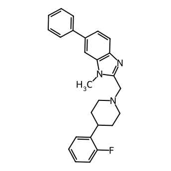 Cn1c(CN2CCC(c3ccccc3F)CC2)nc2ccc(-c3ccccc3)cc21